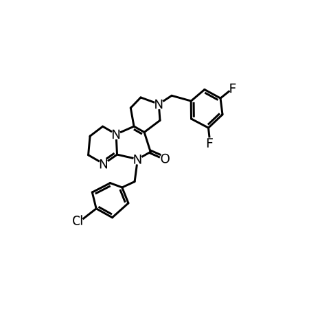 O=C1C2=C(CCN(Cc3cc(F)cc(F)c3)C2)N2CCCN=C2N1Cc1ccc(Cl)cc1